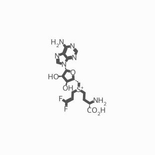 Nc1ncnc2c1ncn2[C@@H]1O[C@H](C[S+](CC=C(F)F)CC[C@H](N)C(=O)O)[C@@H](O)[C@H]1O